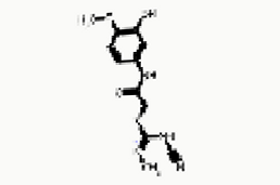 C/N=C(\NC#N)SCC(=O)Nc1ccc(OC)c(O)c1